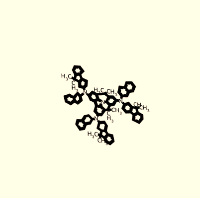 CC1(C)c2ccccc2-c2ccc(N(c3cc4c5c(c3)C(C)(C)c3cc(N(C6=CC=C7c8ccccc8C(C)(C)C7C6)C6C=c7ccccc7=CC6)cc6c7cc(N(c8ccc9c(c8)C(C)(C)c8ccccc8-9)c8ccc9ccccc9c8)cc(c7n-5c36)C4(C)C)c3ccc4ccccc4c3)cc21